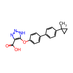 CC1(c2ccc(-c3ccc(Oc4[nH]nnc4C(=O)O)cc3)cc2)CC1